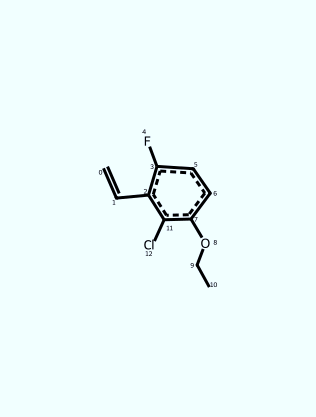 C=Cc1c(F)ccc(OCC)c1Cl